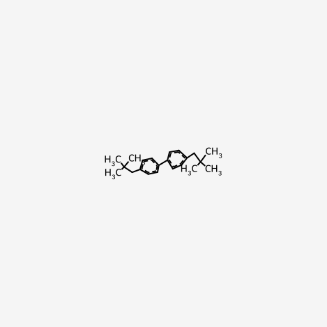 CC(C)(C)Cc1ccc(-c2ccc(CC(C)(C)C)cc2)cc1